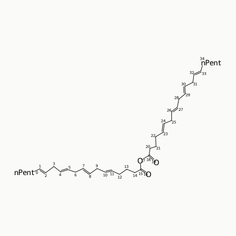 CCCCC/C=C/C/C=C/C/C=C/C/C=C/CCCC(=O)OC(=O)CCC/C=C/C/C=C/C/C=C/C/C=C/CCCCC